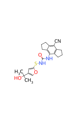 CC(C)(O)c1coc(SNC(=O)Nc2c3c(c(C#N)c4c2CCC4)CCC3)c1